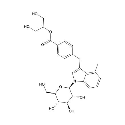 Cc1cccc2c1c(Cc1ccc(C(=O)OC(CO)CO)cc1)cn2[C@@H]1O[C@H](CO)[C@@H](O)[C@H](O)[C@H]1O